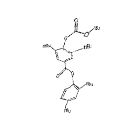 CC(C)(C)OC(=O)Oc1c(C(C)(C)C)cc(C(=O)Oc2ccc(C(C)(C)C)cc2C(C)(C)C)cc1C(C)(C)C